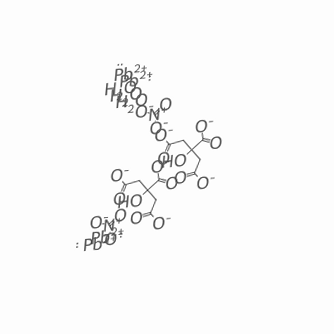 O.O.O.O=C([O-])CC(O)(CC(=O)[O-])C(=O)[O-].O=C([O-])CC(O)(CC(=O)[O-])C(=O)[O-].O=[N+]([O-])[O-].O=[N+]([O-])[O-].[Pb+2].[Pb+2].[Pb+2].[Pb+2]